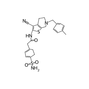 Cc1ccc(CN2CCc3c(sc(NC(=O)CC4=CC=C(S(N)(=O)=O)CC4)c3C#N)C2)cc1